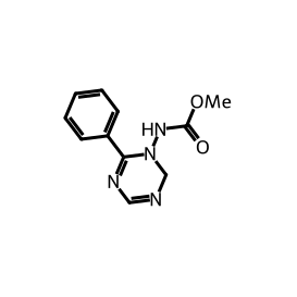 COC(=O)NN1CN=CN=C1c1ccccc1